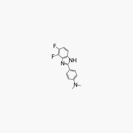 CN(C)c1ccc(-c2nc3c(F)c(F)ccc3[nH]2)cc1